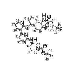 Cc1ccc2c(NS(=O)(=O)C[C@@H]3CCC3(F)F)c(F)ccc2c1Oc1ncccc1-c1ccnc(N[C@H]2CCCN(C(=O)OC(C)(C)C)C2)n1